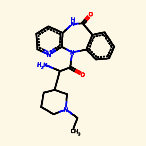 CCN1CCCC(C(N)C(=O)N2c3ccccc3C(=O)Nc3cccnc32)C1